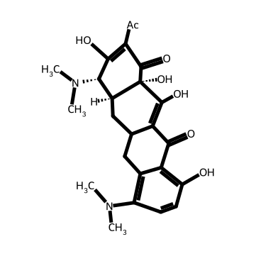 CC(=O)C1=C(O)[C@@H](N(C)C)[C@@H]2CC3Cc4c(N(C)C)ccc(O)c4C(=O)C3=C(O)[C@]2(O)C1=O